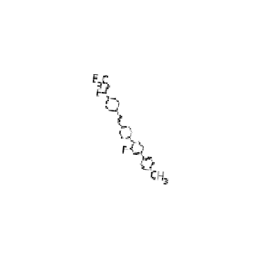 Cc1ccc(-c2ccc(C3CCC(/C=C/C4CCC(/C(F)=C/C(F)(F)F)CC4)CC3)c(F)c2)cc1